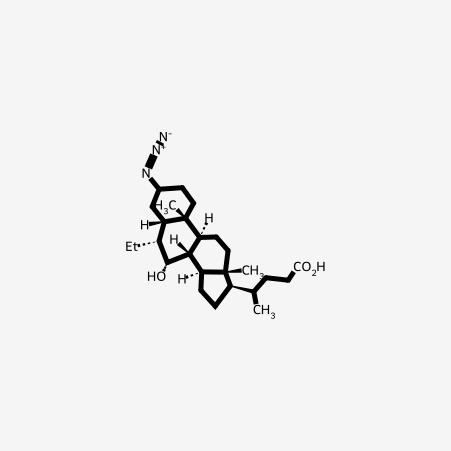 CC[C@H]1[C@@H](O)[C@@H]2[C@H](CC[C@]3(C)[C@@H](C(C)CCC(=O)O)CC[C@@H]23)[C@@]2(C)CCC(N=[N+]=[N-])C[C@@H]12